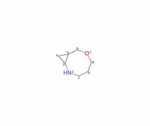 C1CNC2CC2COC1